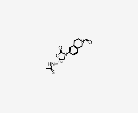 CC(=S)NC[C@H]1CN(c2ccc3c(c2)CCN(C=O)C3)C(=O)O1